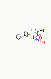 CC(C)(SCc1cccc(Oc2ccccc2)c1)[C@H](NC(=O)O)C(=O)N1C[C@@H](F)C[C@H]1C#N